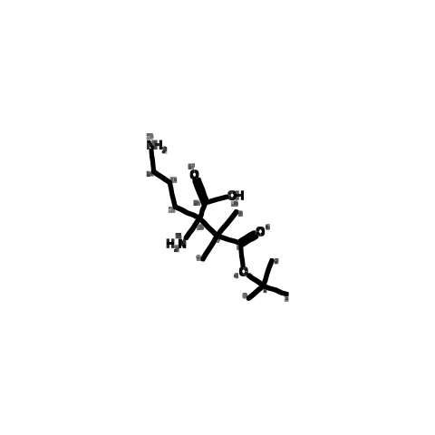 CC(C)(C)OC(=O)C(C)(C)C(N)(CCCN)C(=O)O